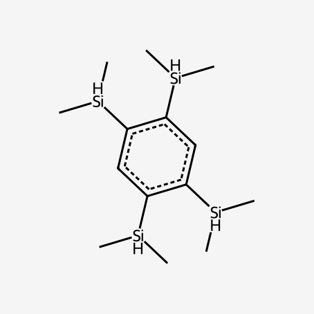 C[SiH](C)c1cc([SiH](C)C)c([SiH](C)C)cc1[SiH](C)C